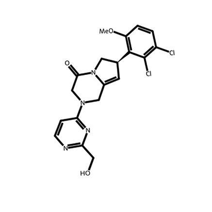 COc1ccc(Cl)c(Cl)c1[C@H]1C=C2CN(c3ccnc(CO)n3)CC(=O)N2C1